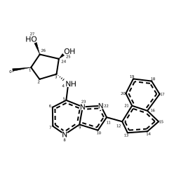 [CH2][C@@H]1C[C@@H](Nc2ccnc3cc(-c4cccc5ccccc45)nn23)[C@H](O)[C@@H]1O